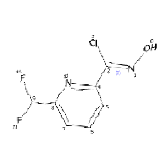 O/N=C(\Cl)c1cccc(C(F)F)n1